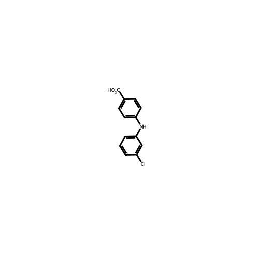 O=C(O)c1ccc(Nc2cccc(Cl)c2)cc1